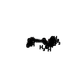 COc1cc(N2CCN(C(=O)CCCCCCCCCCSc3cccc4c3CN(C3CCC(=O)NC3=O)C4=O)CC2)ccc1Nc1ncc(Cl)c(Nc2ccccc2P(=O)(OC)OC)n1